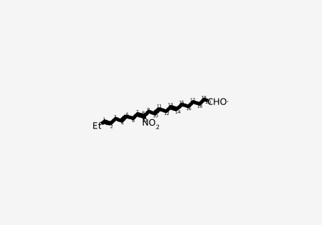 CC/C=C/C/C=C/C/C=C(/C/C=C/C/C=C/CCCCC[C]=O)[N+](=O)[O-]